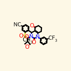 CS(=O)(=O)c1cc(C#N)ccc1C1C2=C(CCCC2=O)N(c2cccc(C(F)(F)F)c2)C(=O)N1CC1COC1